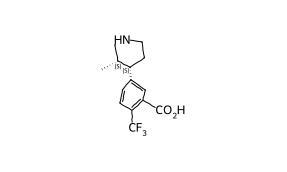 C[C@@H]1CNCC[C@@H]1c1ccc(C(F)(F)F)c(C(=O)O)c1